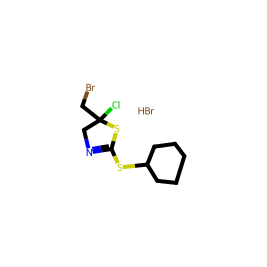 Br.ClC1(CBr)CN=C(SC2CCCCC2)S1